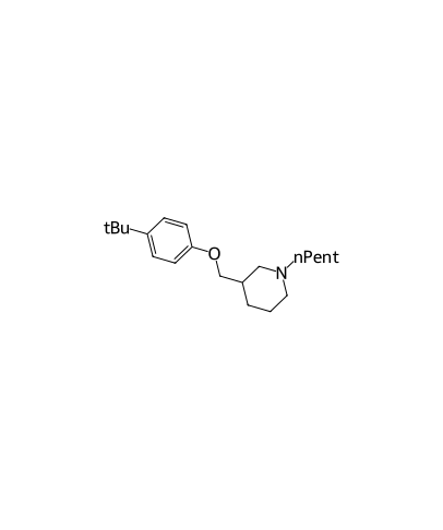 CCCCCN1CCCC(COc2ccc(C(C)(C)C)cc2)C1